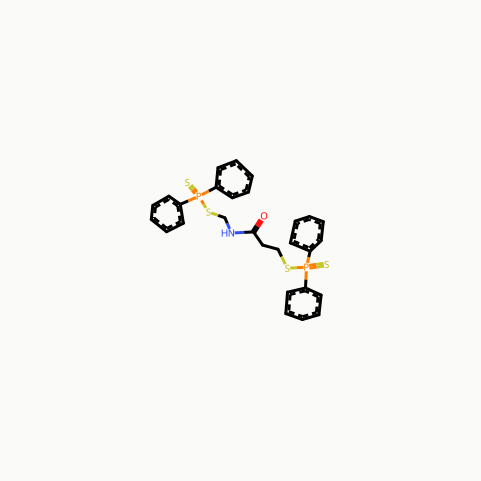 O=C(CCSP(=S)(c1ccccc1)c1ccccc1)NCSP(=S)(c1ccccc1)c1ccccc1